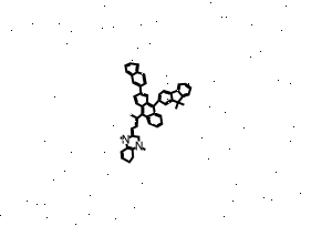 C/C(=C\C=C1/CN(C)C2=C(C=CCC2)N1C)c1c2ccccc2c(-c2ccc3c(c2)C(C)(C)c2ccccc2-3)c2cc(-c3ccc4ccccc4c3)ccc12